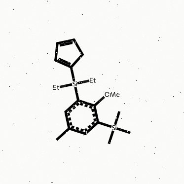 CC[Si](CC)(C1=CC=CC1)c1cc(C)cc([Si](C)(C)C)c1OC